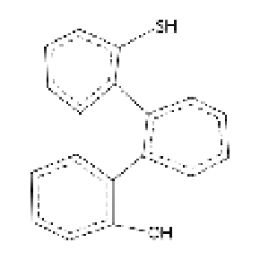 Oc1ccccc1-c1ccccc1-c1ccccc1S